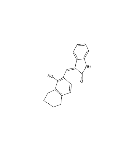 O=C1Nc2ccccc2C1=Cc1ccc2c(c1O)CCCC2